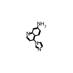 Nc1ccc2c(-n3ccnc3)ccnc2c1